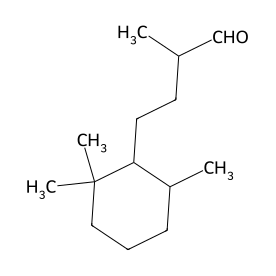 CC(C=O)CCC1C(C)CCCC1(C)C